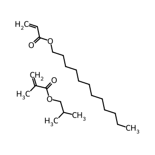 C=C(C)C(=O)OCC(C)C.C=CC(=O)OCCCCCCCCCCCC